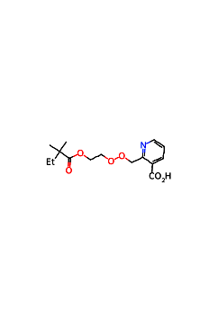 CCC(C)(C)C(=O)OCCOOCc1ncccc1C(=O)O